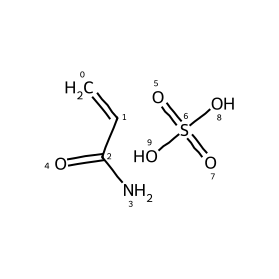 C=CC(N)=O.O=S(=O)(O)O